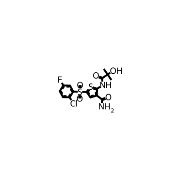 CC(C)(O)C(=O)Nc1sc(S(=O)(=O)c2cc(F)ccc2Cl)cc1C(N)=O